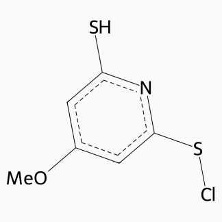 COc1cc(S)nc(SCl)c1